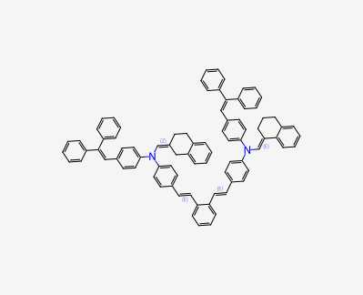 C(=C(c1ccccc1)c1ccccc1)c1ccc(N(/C=C2/CCc3ccccc3C2)c2ccc(/C=C/c3ccccc3/C=C/c3ccc(N(/C=C4\CCCc5ccccc54)c4ccc(C=C(c5ccccc5)c5ccccc5)cc4)cc3)cc2)cc1